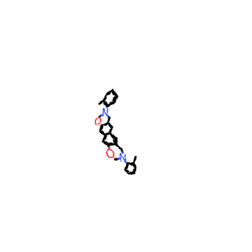 Cc1ccccc1N1COc2cc3cc4c(cc3cc2C1)CN(c1ccccc1C)CO4